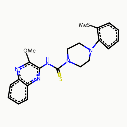 COc1nc2ccccc2nc1NC(=S)N1CCN(c2ccccc2SC)CC1